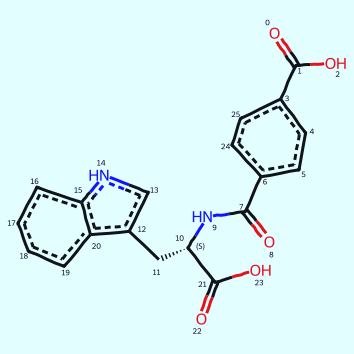 O=C(O)c1ccc(C(=O)N[C@@H](Cc2c[nH]c3ccccc23)C(=O)O)cc1